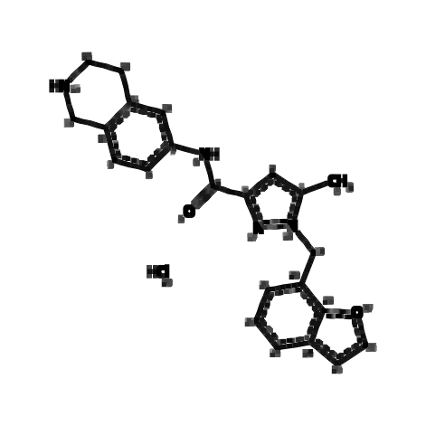 Cc1cc(C(=O)Nc2ccc3c(c2)CCNC3)nn1Cc1cccc2ccoc12.Cl